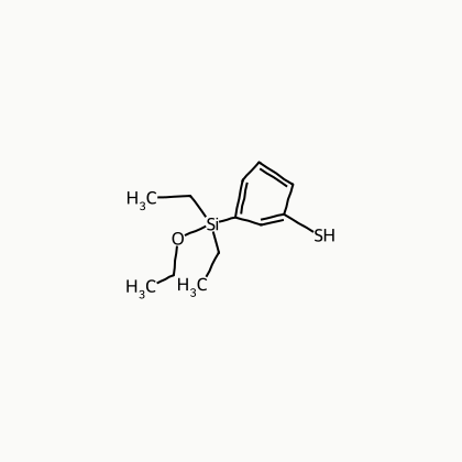 CCO[Si](CC)(CC)c1cccc(S)c1